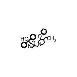 CCC1CCN(Cc2cnc(C(O)(c3ccccc3)c3ccccc3)o2)CC1Oc1ccccc1